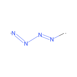 [CH2]N=NN=[N]